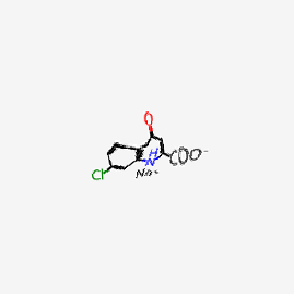 O=C([O-])c1cc(=O)c2ccc(Cl)cc2[nH]1.[Na+]